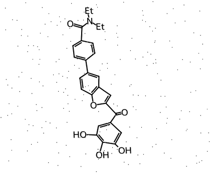 CCN(CC)C(=O)c1ccc(-c2ccc3oc(C(=O)c4cc(O)c(O)c(O)c4)cc3c2)cc1